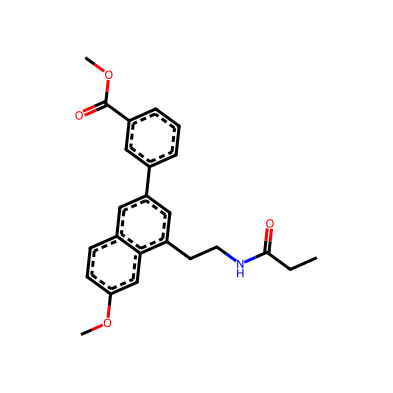 CCC(=O)NCCc1cc(-c2cccc(C(=O)OC)c2)cc2ccc(OC)cc12